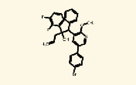 C=CCC(O)(c1cccc(F)c1F)C(c1ccccc1)c1cc(-c2ccc(Br)cc2)cnc1OC